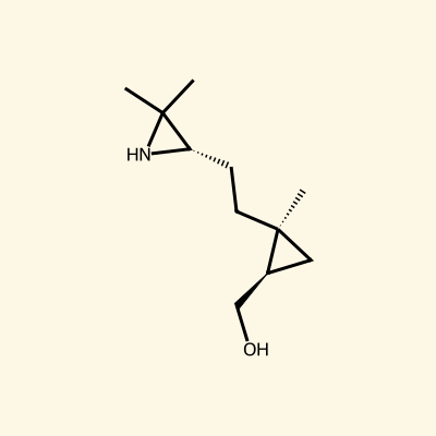 CC1(C)N[C@H]1CC[C@@]1(C)C[C@H]1CO